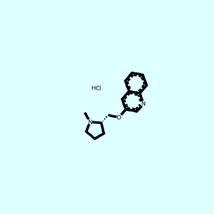 CN1CCC[C@H]1COc1cnc2ccccc2c1.Cl